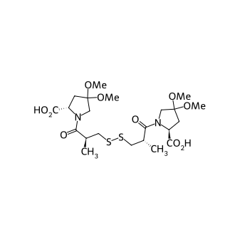 COC1(OC)C[C@@H](C(=O)O)N(C(=O)[C@H](C)CSSC[C@@H](C)C(=O)N2CC(OC)(OC)C[C@H]2C(=O)O)C1